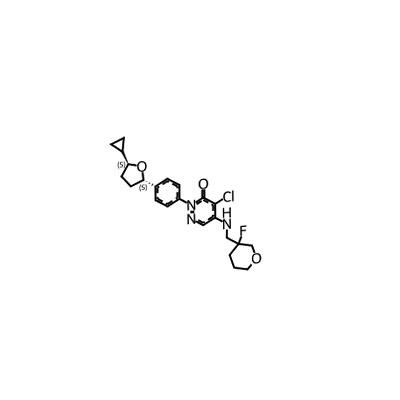 O=c1c(Cl)c(NCC2(F)CCCOC2)cnn1-c1ccc([C@@H]2CC[C@@H](C3CC3)O2)cc1